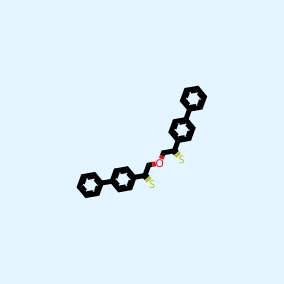 S=C(COCC(=S)c1ccc(-c2ccccc2)cc1)c1ccc(-c2ccccc2)cc1